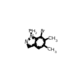 Cc1cc2cnn(P)c2c(Br)c1C